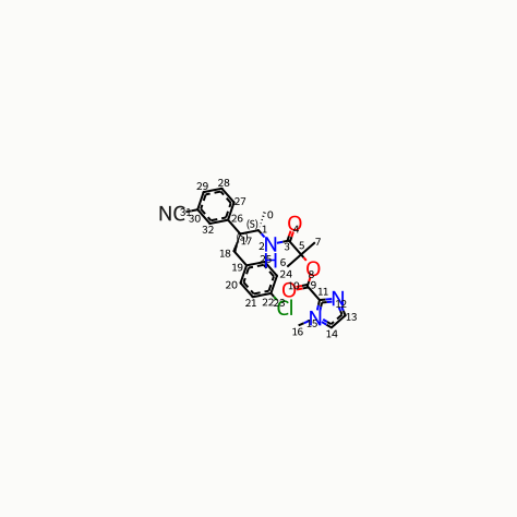 C[C@H](NC(=O)C(C)(C)OC(=O)c1nccn1C)[C@@H](Cc1ccc(Cl)cc1)c1cccc(C#N)c1